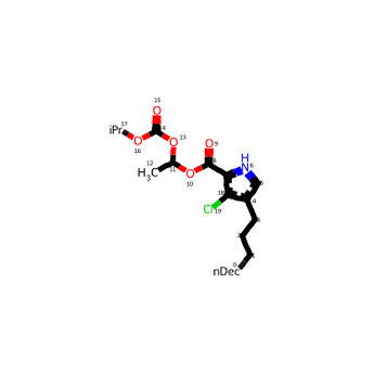 CCCCCCCCCCCCCc1c[nH]c(C(=O)OC(C)OC(=O)OC(C)C)c1Cl